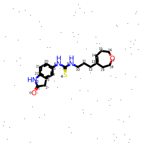 O=C1Cc2cc(NC(=S)NCCCC3=CCCOCC3)ccc2N1